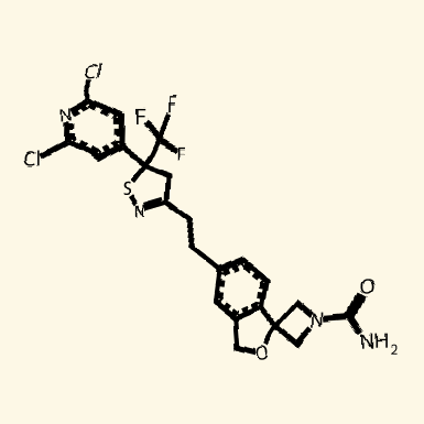 NC(=O)N1CC2(C1)OCc1cc(CCC3=NSC(c4cc(Cl)nc(Cl)c4)(C(F)(F)F)C3)ccc12